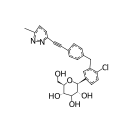 Cc1ccc(C#Cc2ccc(Cc3cc([C@@H]4O[C@H](CO)[C@@H](O)C(O)[C@H]4O)ccc3Cl)cc2)nn1